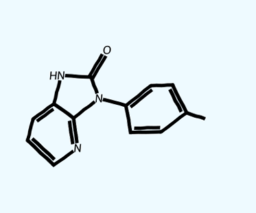 Cc1ccc(-n2c(=O)[nH]c3cccnc32)cc1